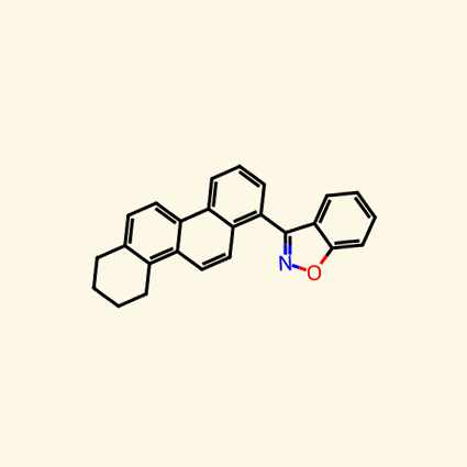 c1ccc2c(-c3cccc4c3ccc3c5c(ccc34)CCCC5)noc2c1